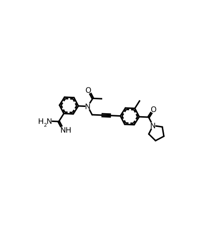 CC(=O)N(CC#Cc1ccc(C(=O)N2CCCC2)c(C)c1)c1cccc(C(=N)N)c1